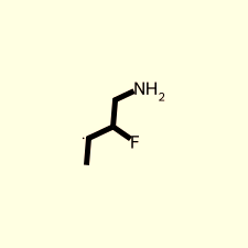 C[CH]C(F)CN